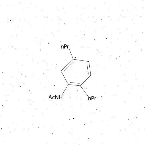 CCCc1ccc(CCC)c(NC(C)=O)c1